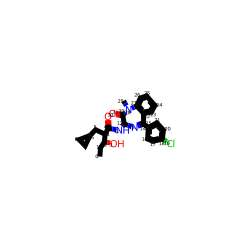 CCC(O)C(CC1CC1)C(=O)NC1N=C(c2ccc(Cl)cc2)c2ccccc2N(C)C1=O